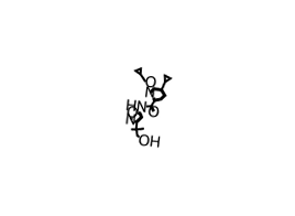 CC(C)(CO)c1cc(NC(=O)c2ccc(C3CC3)c(OCC3CC3)n2)on1